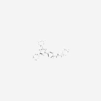 CN1CCC(NC(=O)Nc2ccc(-c3nc(N4CCOCC4)nc(N4CCOCC4)n3)cc2)CC1